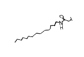 CCCCCCCCCCCCCCNC(=O)CI